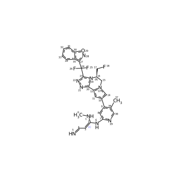 CN/C(=C\C=N)Nc1cc(-c2cc3n(c2)C[C@H](CF)n2c-3nnc2C(F)(F)c2noc3ccccc23)c(C)cn1